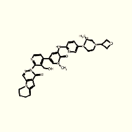 C[C@H]1CN(C2COC2)CCN1c1ccc(Nc2cc(-c3ccnc(-n4ncc5c(cc6n5CCCC6)c4=O)c3CO)cn(C)c2=O)nc1